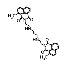 Cc1ccc2cccc3c2c1C(=O)N(CCNCCCNCCN1C(=O)c2cccc4ccc(C)c(c24)C1=O)C3=O